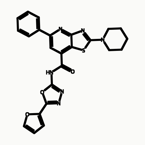 O=C(Nc1nnc(-c2ccco2)o1)c1cc(-c2ccccc2)nc2nc(N3CCCCC3)sc12